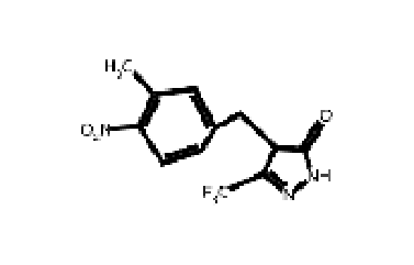 Cc1cc(CC2C(=O)NN=C2C(F)(F)F)ccc1[N+](=O)[O-]